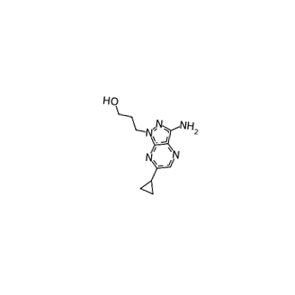 Nc1nn(CCCO)c2nc(C3CC3)cnc12